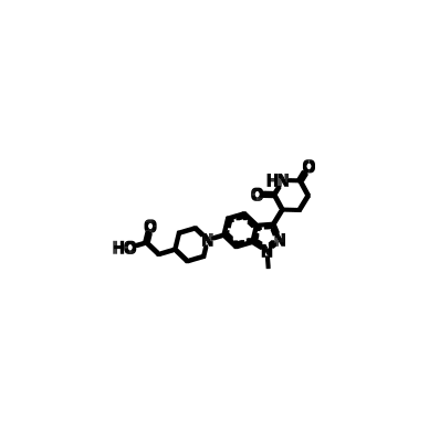 Cn1nc(C2CCC(=O)NC2=O)c2ccc(N3CCC(CC(=O)O)CC3)cc21